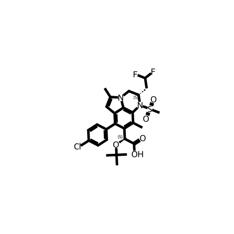 Cc1c([C@H](OC(C)(C)C)C(=O)O)c(-c2ccc(Cl)cc2)c2cc(C)n3c2c1N(S(C)(=O)=O)[C@@H](CC(F)F)C3